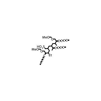 C=C=C=C=C=C(COCOC)C(C)CC(CC(CC(CC)C(=C=C=C=C=C)COCOC)CS(=O)(=O)O)C(C)=C=C=C=C=C